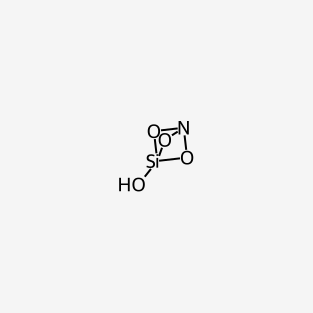 O[Si]12ON(O1)O2